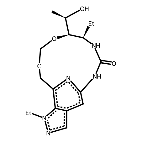 CC[C@H]1NC(=O)Nc2cc3cnn(CC)c3c(n2)CCCO[C@H]1[C@@H](C)O